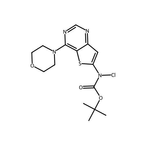 CC(C)(C)OC(=O)N(Cl)c1cc2ncnc(N3CCOCC3)c2s1